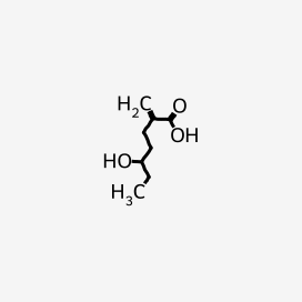 C=C(CCC(O)CC)C(=O)O